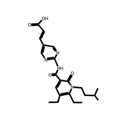 CCc1cc(C(=O)Nc2ncc(/C=C/C(=O)O)cn2)c(=O)n(CCC(C)C)c1CC